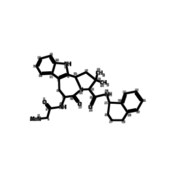 CNCC(=O)NC1Cc2c([nH]c3ccccc23)C2CC(C)(C)C(C(=O)NC3CCCc4ccccc43)N2C1=O